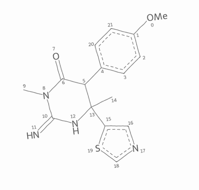 COc1ccc(C2C(=O)N(C)C(=N)NC2(C)c2cncs2)cc1